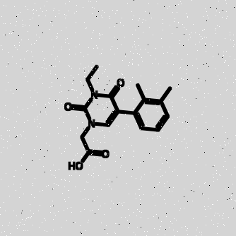 CCn1c(=O)c(-c2cccc(C)c2C)cn(CC(=O)O)c1=O